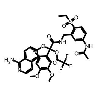 CCS(=O)(=O)c1ccc(NC(C)=O)cc1CNC(=O)C(OC(=O)C(F)(F)F)(Oc1ccc2c(N)nccc2c1)c1cc(OC)c(OC)cc1F